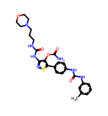 Cc1cccc(NC(=O)Nc2ccc(-c3snc(NC(=O)NCCCN4CCOCC4)c3OC(N)=O)cc2)c1